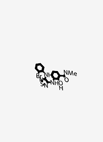 CNC(=O)c1cccc(Nc2nsnc2Nc2ccccc2Br)c1O